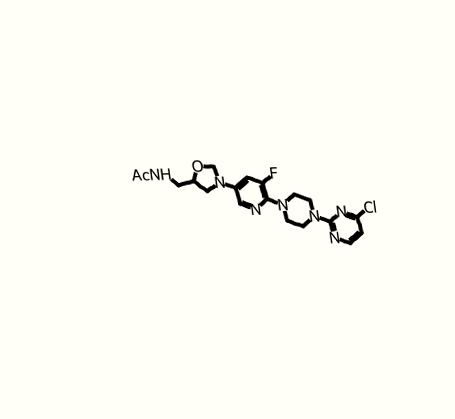 CC(=O)NCC1CN(c2cnc(N3CCN(c4nccc(Cl)n4)CC3)c(F)c2)CO1